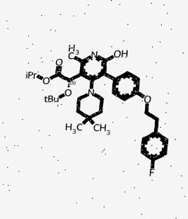 Cc1nc(O)c(-c2ccc(OCCc3ccc(F)cc3)cc2)c(N2CCC(C)(C)CC2)c1[C@H](OC(C)(C)C)C(=O)OC(C)C